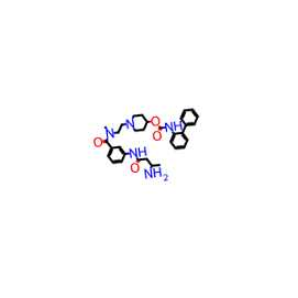 CC(N)CC(=O)Nc1cccc(C(=O)N(C)CCN2CCC(OC(=O)Nc3ccccc3-c3ccccc3)CC2)c1